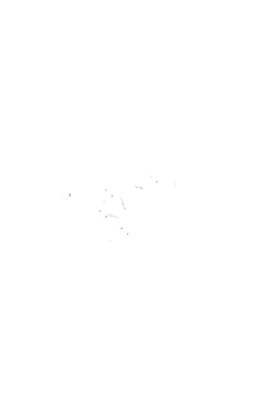 CCCCNc1nc(SC)nc(C=CN(C)C)c1C(=O)O